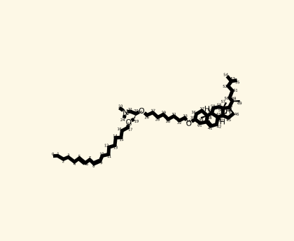 CCCCCC=CC/C=C\CCCCCCCCOC[C@H](CN(C)C)OCCCCCCCCOC1CC[C@@]2(C)C(=CC[C@H]3[C@@H]4CC[C@H]([C@H](C)CCCC(C)C)[C@@]4(C)CC[C@@H]32)C1